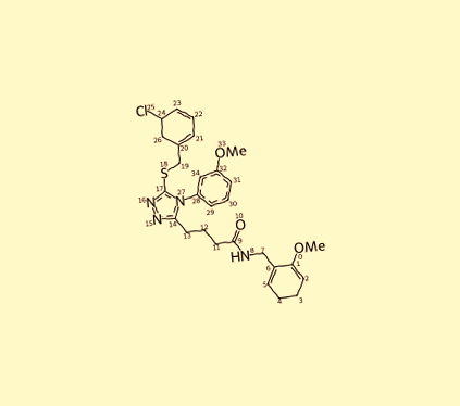 COC1=CCCC=C1CNC(=O)CCCc1nnc(SCC2=CC=CC(Cl)C2)n1-c1cccc(OC)c1